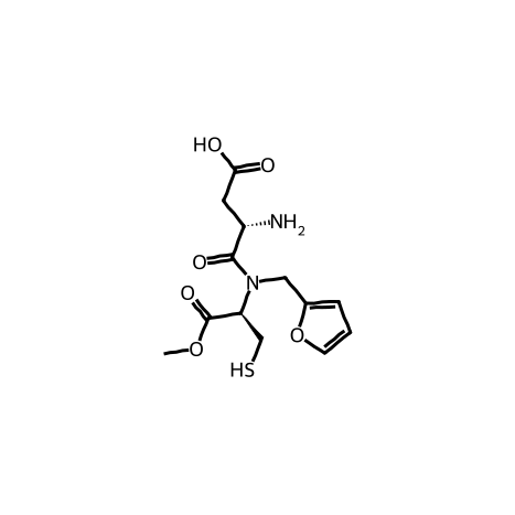 COC(=O)[C@H](CS)N(Cc1ccco1)C(=O)[C@@H](N)CC(=O)O